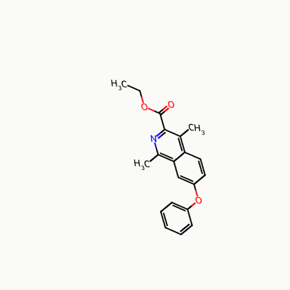 CCOC(=O)c1nc(C)c2cc(Oc3ccccc3)ccc2c1C